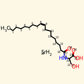 CCCCCCCC/C=C\CCCCCCCC(=O)NC(CO)C(=O)O.[SrH2]